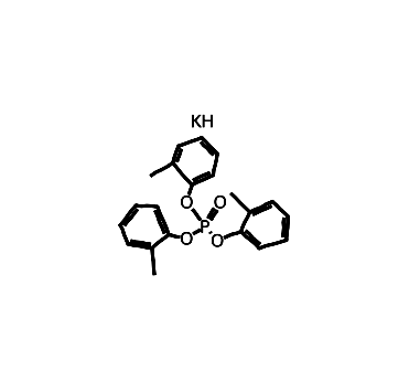 Cc1ccccc1OP(=O)(Oc1ccccc1C)Oc1ccccc1C.[KH]